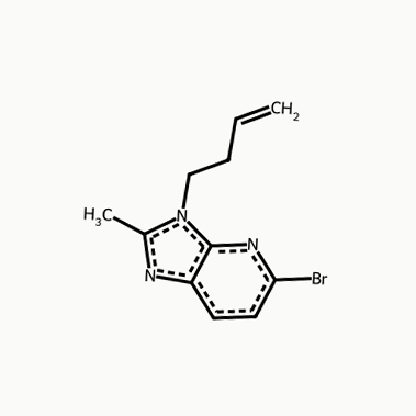 C=CCCn1c(C)nc2ccc(Br)nc21